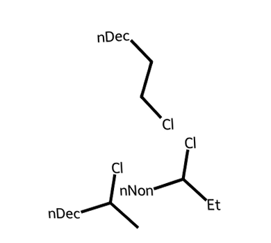 CCCCCCCCCC(Cl)CC.CCCCCCCCCCC(C)Cl.CCCCCCCCCCCCCl